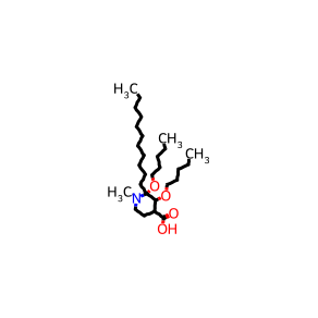 CCCCCCCCCCCC1(OCCCCC)C(OCCCCC)C(C(=O)O)CCN1C